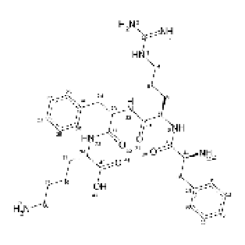 N=C(N)NCCC[C@@H](NC(=O)[C@@H](N)Cc1ccccc1)C(=O)N[C@@H](Cc1ccccc1)C(=O)N[C@@H](CCCCN)C(=O)O